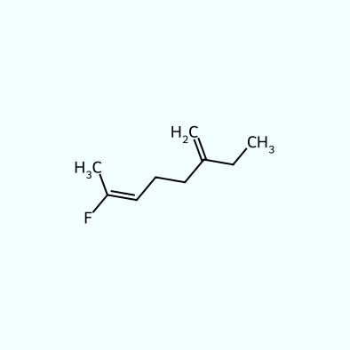 C=C(CC)CC/C=C(\C)F